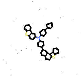 c1ccc(-c2ccc(N(c3ccc(-c4ccc5ccc6sc7ccccc7c6c5c4)cc3)c3ccc4sc5ccccc5c4c3)cc2)cc1